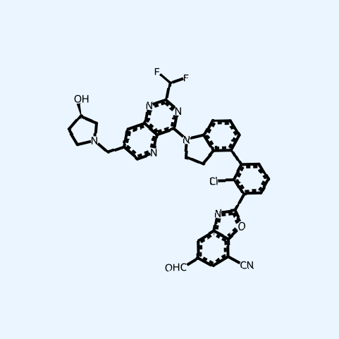 N#Cc1cc(C=O)cc2nc(-c3cccc(-c4cccc5c4CCN5c4nc(C(F)F)nc5cc(CN6CC[C@@H](O)C6)cnc45)c3Cl)oc12